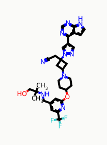 CC(C)(CO)NCc1cc(OC2CCN(C3CC(CC#N)(n4cc(-c5ncnc6[nH]ccc56)cn4)C3)CC2)nc(C(F)(F)F)c1